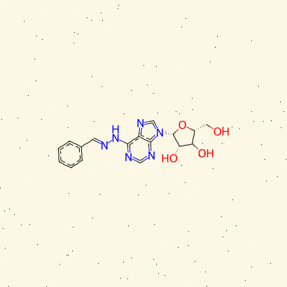 OC[C@H]1O[C@@H](n2cnc3c(N/N=C/c4ccccc4)ncnc32)[C@@H](O)C1O